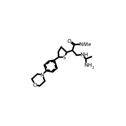 CNC(=O)C(CNC(C)N)C1CCC(c2ccc(N3CCOCC3)cc2)S1